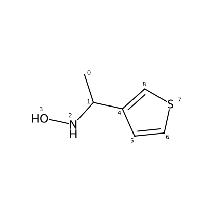 CC(NO)c1ccsc1